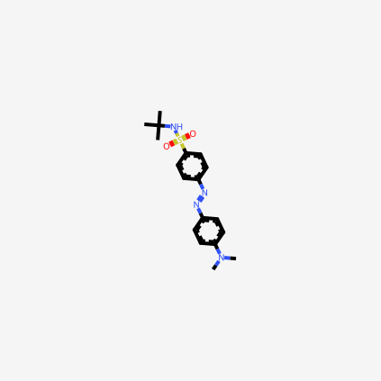 CN(C)c1ccc(N=Nc2ccc(S(=O)(=O)NC(C)(C)C)cc2)cc1